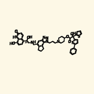 O=C(OC1CCN(CCCn2nnc3cc(CNC[C@H](O)c4ccc(O)c5[nH]c(=O)ccc45)c4c(c32)CCC4)CC1)[C@](O)(c1cccs1)c1ccc(-c2ccccc2)s1